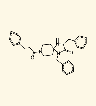 O=C(CCc1ccccc1)N1CCC2(CC1)N[C@@H](Cc1ccccc1)C(=O)N2Cc1ccccc1